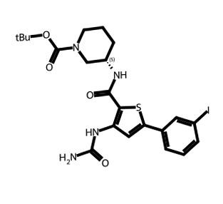 CC(C)(C)OC(=O)N1CCC[C@H](NC(=O)c2sc(-c3cccc(I)c3)cc2NC(N)=O)C1